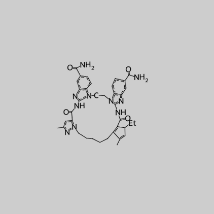 CCC1C=C(C)C2=C1C(=O)Nc1nc3cc(C(N)=O)ccc3n1CCn1c(nc3cc(C(N)=O)ccc31)NC(=O)c1cc(C)nn1CCCCC2